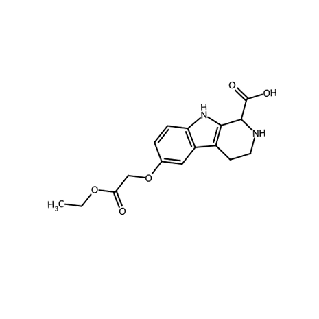 CCOC(=O)COc1ccc2[nH]c3c(c2c1)CCNC3C(=O)O